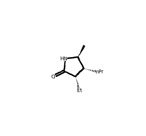 CCC[C@H]1[C@H](C)NC(=O)[C@H]1CC